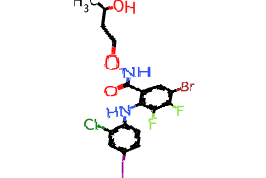 CC(O)CCONC(=O)c1cc(Br)c(F)c(F)c1Nc1ccc(I)cc1Cl